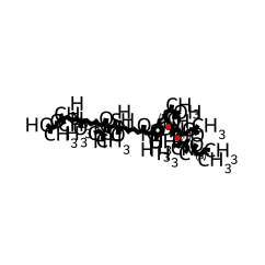 CCC(C)SC(C(=O)NCCCC(=O)NCCC(C)(C)OCC(C)O)C(S)C(=O)NCCCC(=O)Nc1cc(C[C@@H](CC(C)C(=O)O)NC(=O)c2csc([C@@H](CC(C(C)C)N(C)C(=O)C[C@@H](C)CC)OC(C)=O)n2)ccc1O